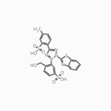 Cc1ccc(-c2nn(-c3nc4ccccc4s3)[n+](-c3cc(S(=O)(=O)O)ccc3CO)n2)c(S(=O)(=O)O)c1